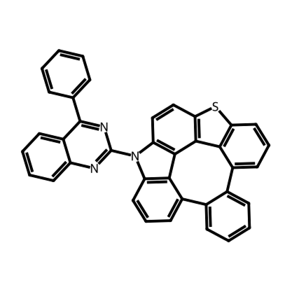 c1ccc(-c2nc(-n3c4cccc5c6ccccc6c6cccc7sc8ccc3c(c8c76)c54)nc3ccccc23)cc1